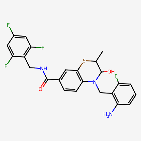 CC1Sc2cc(C(=O)NCc3c(F)cc(F)cc3F)ccc2N(Cc2c(N)cccc2F)C1O